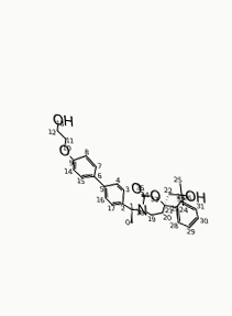 C[C@@H](c1ccc(-c2ccc(OCCO)cc2)cc1)N1CC[C@](CC(C)(C)O)(c2ccccc2)OC1=O